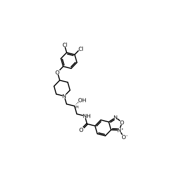 O=C(NC[C@@H](O)CN1CCC(Oc2ccc(Cl)c(Cl)c2)CC1)c1ccc2c(c1)no[n+]2[O-]